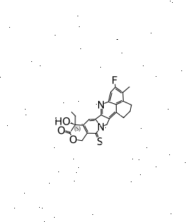 CC[C@@]1(O)C(=O)OCc2c1cc1n(c2=S)Cc2c-1nc1cc(F)c(C)c3c1c2CCC3